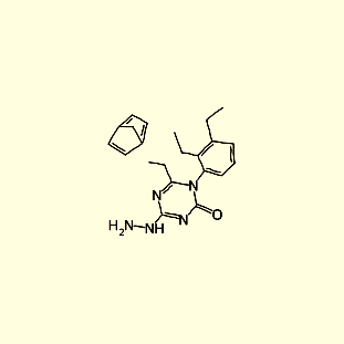 C1=CC2=CC=C1C2.CCc1cccc(-n2c(CC)nc(NN)nc2=O)c1CC